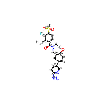 CCS(=O)(=O)c1ccc(C(=O)N2CCOc3ccc(-c4ccc(N)nc4)cc3C2)c(C)c1F